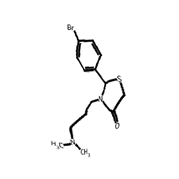 CN(C)CCCN1C(=O)CSC1c1ccc(Br)cc1